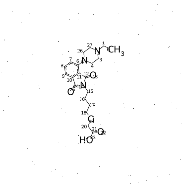 CCN1CCN(c2cccc3c2C(=O)N(CCCCOCC(=O)O)C3=O)CC1